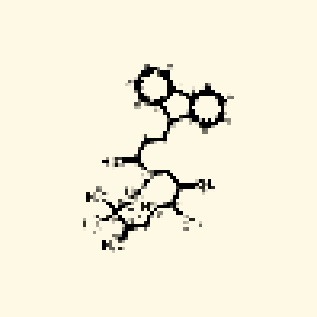 C=C(CN(C)C(=C)CCC1c2ccccc2-c2ccccc21)C(C)NCC(=C)C(C)(C)C